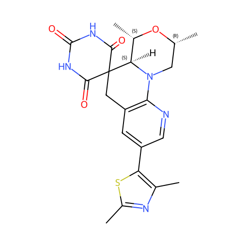 Cc1nc(C)c(-c2cnc3c(c2)CC2(C(=O)NC(=O)NC2=O)[C@H]2[C@H](C)O[C@H](C)CN32)s1